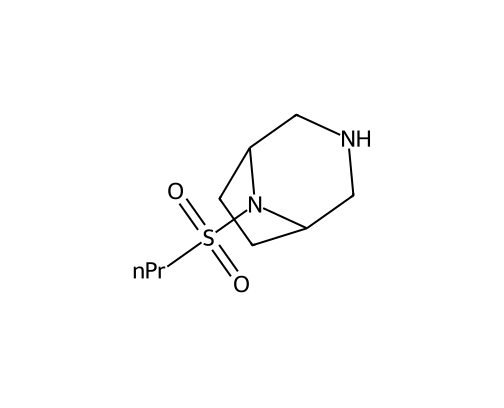 CCCS(=O)(=O)N1C2CCC1CNC2